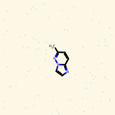 Cc1ccc2nc[c]n2n1